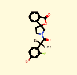 CCC(OC)(C(=O)N1CCC2(C1)OC(=O)c1ccccc12)c1ccc(Br)cc1F